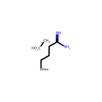 CC(=O)O.CCCCCCCCCC(=N)N